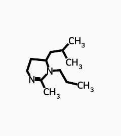 CCCN1C(C)=NCCC1CC(C)C